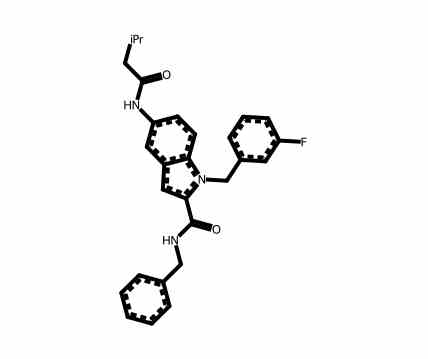 CC(C)CC(=O)Nc1ccc2c(c1)cc(C(=O)NCc1ccccc1)n2Cc1cccc(F)c1